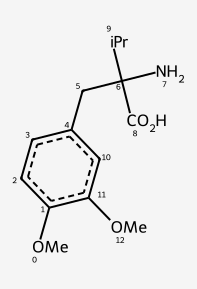 COc1ccc(CC(N)(C(=O)O)C(C)C)cc1OC